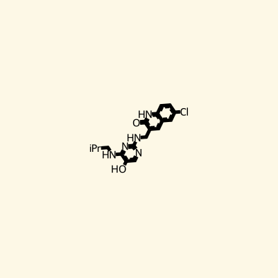 CC(C)CNc1nc(NCc2cc3cc(Cl)ccc3[nH]c2=O)ncc1O